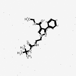 CCOC(=O)c1cn(CCNC(=O)OC(C)(C)C)nc1-c1ccccc1